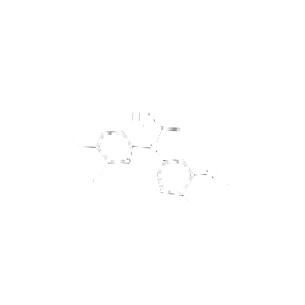 Cc1ccc(N(C(N)=O)c2ccc(Cl)c(C(F)(F)F)c2)cc1N